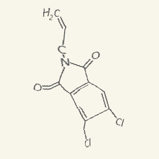 C=CCN1C(=O)c2cc(Cl)c(Cl)cc2C1=O